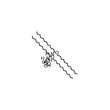 CCCCCCCCCCCCOC(N)CCCCCCCCCCC.CCCCCCCCCCCCOC(N)CCCCCCCCCCC.O=S(=O)(O)O